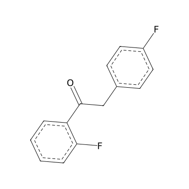 O=C(Cc1ccc(F)cc1)c1ccccc1F